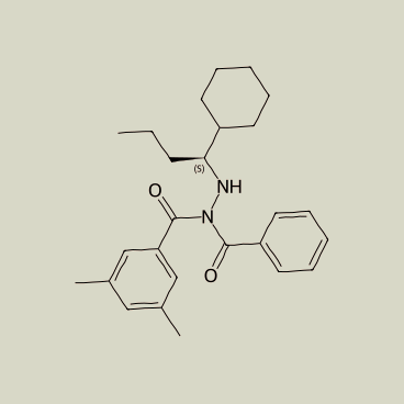 CCC[C@H](NN(C(=O)c1ccccc1)C(=O)c1cc(C)cc(C)c1)C1CCCCC1